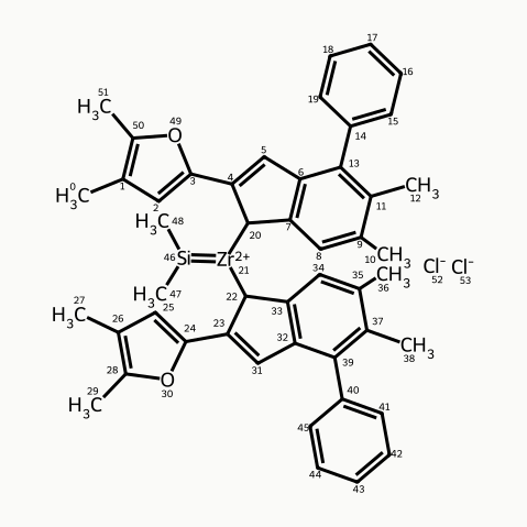 Cc1cc(C2=Cc3c(cc(C)c(C)c3-c3ccccc3)[CH]2[Zr+2]([CH]2C(c3cc(C)c(C)o3)=Cc3c2cc(C)c(C)c3-c2ccccc2)=[Si](C)C)oc1C.[Cl-].[Cl-]